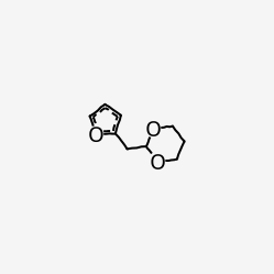 c1coc(CC2OCCCO2)c1